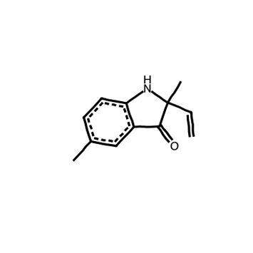 C=CC1(C)Nc2ccc(C)cc2C1=O